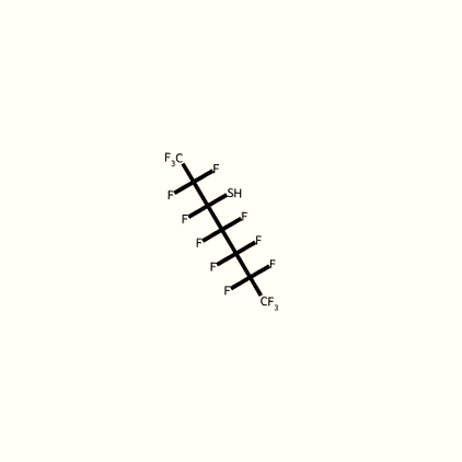 FC(F)(F)C(F)(F)C(F)(F)C(F)(F)C(F)(S)C(F)(F)C(F)(F)F